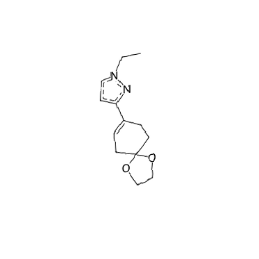 CCn1ccc(C2=CCC3(CC2)OCCO3)n1